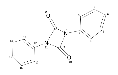 O=C1N(c2ccccc2)C(=O)N1c1ccccc1